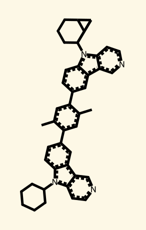 Cc1cc(-c2ccc3c(c2)c2cnccc2n3C23CCCC4C2C43)c(C)cc1-c1ccc2c(c1)c1cnccc1n2C1CCCCC1